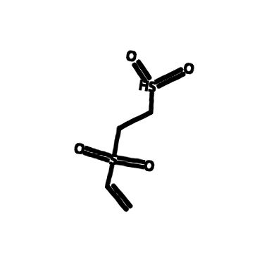 C=CS(=O)(=O)CC[SH](=O)=O